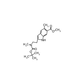 COC(=O)c1cc2[nH]c(CCN(C)C(=O)OC(C)(C)C)cc2cc1C